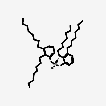 CCCCCCCCc1cccc(SP(=O)(O)Sc2cccc(CCCCCCCC)c2CCCCCCCC)c1CCCCCCCC